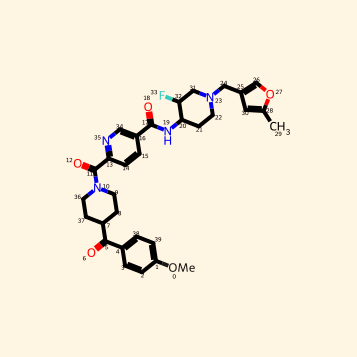 COc1ccc(C(=O)C2CCN(C(=O)c3ccc(C(=O)NC4CCN(Cc5coc(C)c5)CC4F)cn3)CC2)cc1